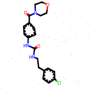 O=C(NCCc1ccc(Cl)cc1)Nc1ccc(C(=O)N2CCOCC2)cc1